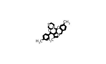 Cc1ccc(Cn2cc(C)c(C(=O)c3ccc(C)cc3)c2C(=O)N2CCSCC2)cc1